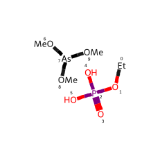 CCOP(=O)(O)O.CO[As](OC)OC